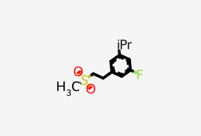 CC(C)c1cc(F)cc(CCS(C)(=O)=O)c1